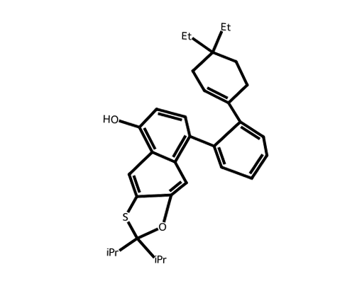 CCC1(CC)CC=C(c2ccccc2-c2ccc(O)c3cc4c(cc23)OC(C(C)C)(C(C)C)S4)CC1